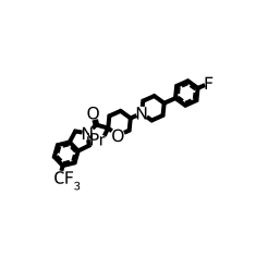 CC(C)C1(C(=O)N2Cc3ccc(C(F)(F)F)cc3C2)CCC(N2CCC(c3ccc(F)cc3)CC2)CO1